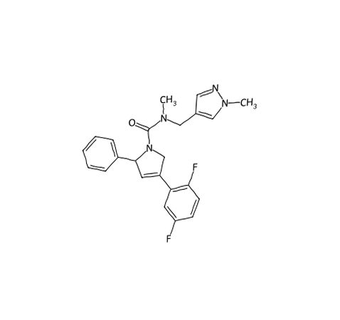 CN(Cc1cnn(C)c1)C(=O)N1CC(c2cc(F)ccc2F)=CC1c1ccccc1